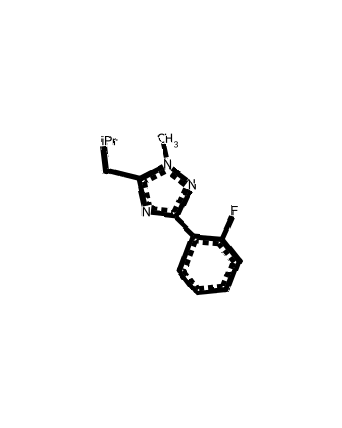 CC(C)Cc1nc(-c2ccccc2F)nn1C